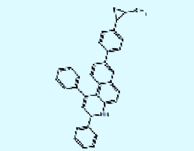 CC1CC1c1ccc(-c2ccc3c4c(ccc3c2)NC(c2ccccc2)C=C4c2ccccc2)cc1